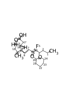 CCCC[C@@H](F)[C@@H](C=C[C@H]1C(C)C[C@@H]2O[C@@H](O)C[C@@H]21)OC1CCCCO1